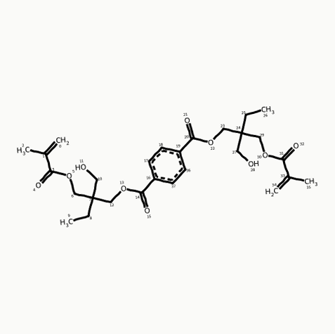 C=C(C)C(=O)OCC(CC)(CO)COC(=O)c1ccc(C(=O)OCC(CC)(CO)COC(=O)C(=C)C)cc1